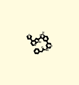 O=C(Cc1ccccc1)Nc1cncc(-c2ccc3[nH]nc(-c4cc5c(-c6ccoc6)ccnc5[nH]4)c3c2)c1